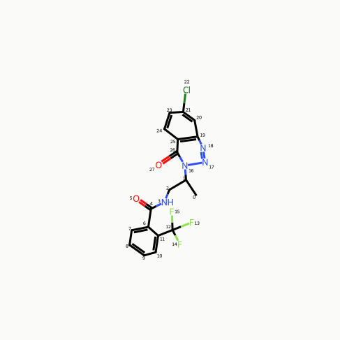 CC(CNC(=O)c1ccccc1C(F)(F)F)n1nnc2cc(Cl)ccc2c1=O